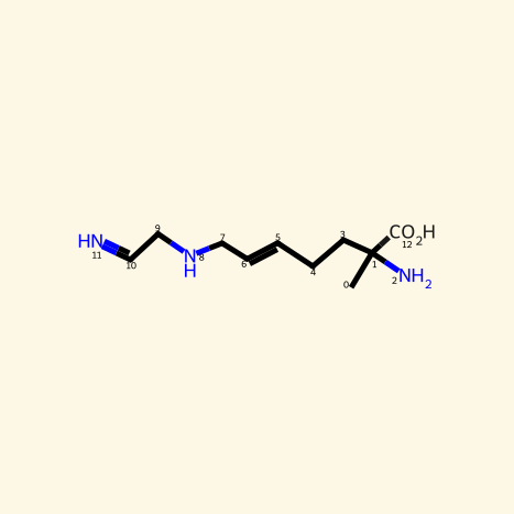 CC(N)(CCC=CCNCC=N)C(=O)O